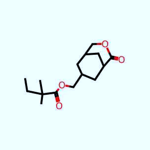 CCC(C)(C)C(=O)OCC1CC2COC(=O)C(C2)C1